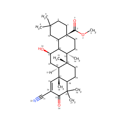 COC(=O)[C@]12CCC(C)(C)CC1C1[C@H](O)C[C@@H]3[C@@]4(C)C=C(C#N)C(=O)C(C)(C)C4CC[C@@]3(C)[C@]1(C)CC2